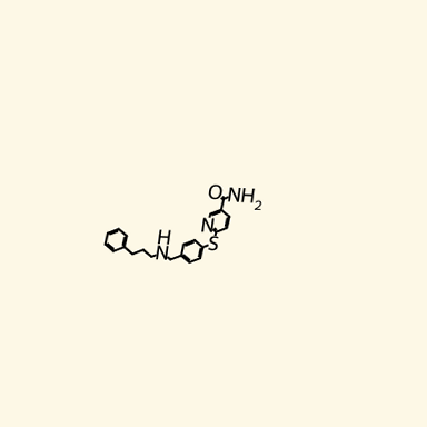 NC(=O)c1ccc(Sc2ccc(CNCCCc3ccccc3)cc2)nc1